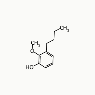 CCCCc1cccc(O)c1OC